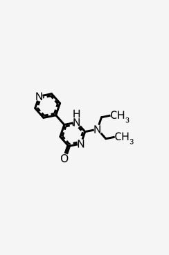 CCN(CC)c1nc(=O)cc(-c2ccncc2)[nH]1